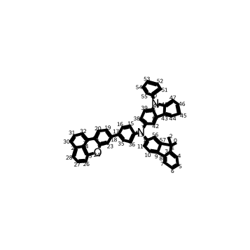 CC1(C)c2ccccc2-c2ccc(N(c3ccc(-c4ccc5c(c4)Oc4cccc6cccc-5c46)cc3)c3ccc4c(c3)c3ccccc3n4-c3ccccc3)cc21